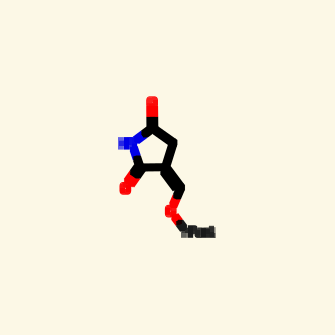 CCCCCOC=C1CC(=O)NC1=O